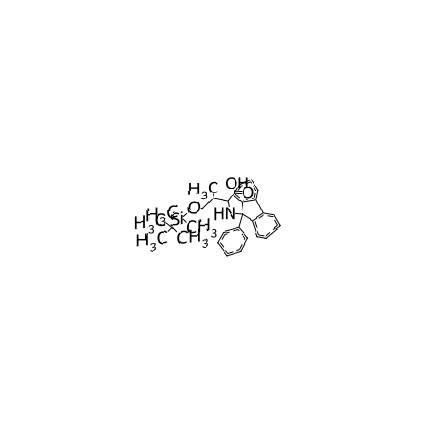 CC(CO[Si](C)(C)C(C)(C)C)C(NC1(c2ccccc2)c2ccccc2-c2ccccc21)C(=O)O